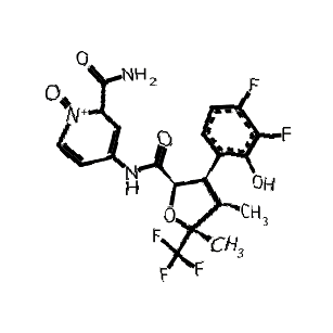 C[C@@H]1[C@H](c2ccc(F)c(F)c2O)[C@H](C(=O)NC2=CC(C(N)=O)[N+](=O)C=C2)O[C@@]1(C)C(F)(F)F